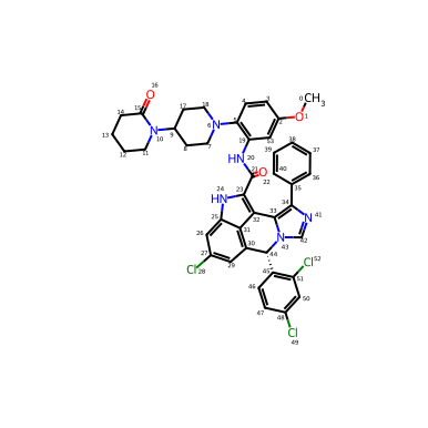 COc1ccc(N2CCC(N3CCCCC3=O)CC2)c(NC(=O)c2[nH]c3cc(Cl)cc4c3c2-c2c(-c3ccccc3)ncn2[C@@H]4c2ccc(Cl)cc2Cl)c1